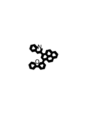 c1ccc2ncc(-c3cc(-c4cccc5c4oc4ccccc45)c4ccc5cccc6ccc3c4c65)cc2c1